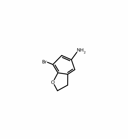 Nc1cc(Br)c2c(c1)CCO2